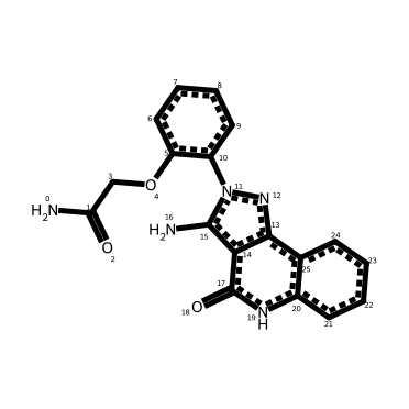 NC(=O)COc1ccccc1-n1nc2c(c1N)c(=O)[nH]c1ccccc12